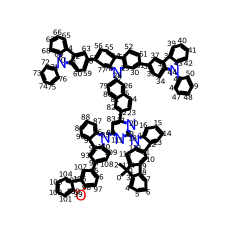 CC1(C)c2ccccc2-c2cc3c4ccccc4n(-c4nc(-c5ccc6cc(-n7c8cc(-c9ccc%10c(c9)c9ccccc9n%10-c9ccccc9)ccc8c8ccc(-c9ccc%10c(c9)c9ccccc9n%10-c9ccccc9)cc87)ccc6c5)cc(-n5c6ccccc6c6cc(-c7ccc8oc9ccccc9c8c7)ccc65)n4)c3cc21